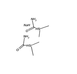 C[SiH](C)C(N)=O.C[SiH](C)C(N)=O.[NaH]